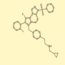 Cc1ccccc1-c1c(F)c2c3cnn(S(=O)(=O)c4ccccc4)c3ccc2n1Cc1ccc(CCNCC2CC2)cc1